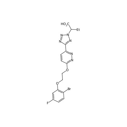 CCC(C(=O)O)n1nnc(-c2ccc(OCCOc3cc(F)ccc3Br)nn2)n1